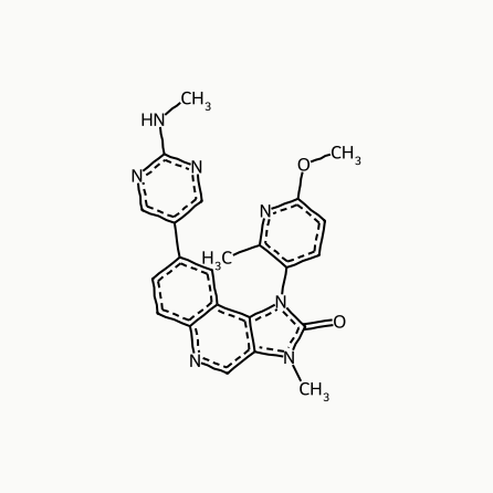 CNc1ncc(-c2ccc3ncc4c(c3c2)n(-c2ccc(OC)nc2C)c(=O)n4C)cn1